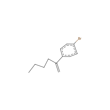 C=C(CCCC)c1ccc(Br)cc1